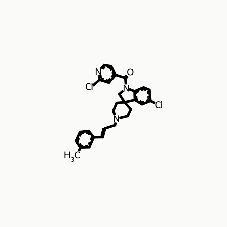 Cc1cccc(/C=C/CN2CCC3(CC2)CN(C(=O)c2ccnc(Cl)c2)c2ccc(Cl)cc23)c1